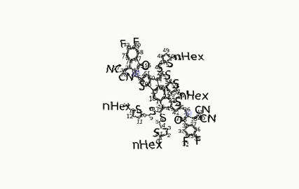 CCCCCCc1ccc(CSC(SCc2ccc(CCCCCC)s2)=C2c3cc4c(cc3-c3sc(/C=C5\C(=O)c6cc(F)c(F)cc6C5=C(C#N)C#N)cc32)C(=C(Sc2ccc(CCCCCC)s2)Sc2ccc(CCCCCC)s2)c2cc(/C=C3\C(=O)c5cc(F)c(F)cc5C3=C(C#N)C#N)sc2-4)s1